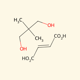 CC(C)(CO)CO.O=C(O)C=CC(=O)O